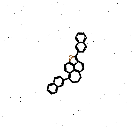 c1ccc2cc(C3=c4ccc5sc(-c6ccc7ccccc7c6)c6ccc(c4c56)CCC3)ccc2c1